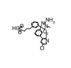 CN1C(=O)C(c2cccc(CCCS(=O)(=O)O)c2)(c2cccc(-c3cc(Cl)cnc3F)c2)N=C1N